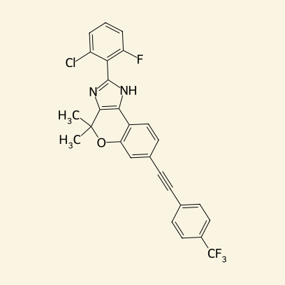 CC1(C)Oc2cc(C#Cc3ccc(C(F)(F)F)cc3)ccc2-c2[nH]c(-c3c(F)cccc3Cl)nc21